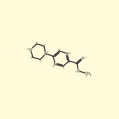 COC(=O)c1cnc(N2CCOCC2)cn1